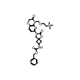 C[Si](C)(C)CCOCN1C(=O)COc2ccc(N3CC4(CC(NC(=O)OCc5ccccc5)C4)OC3=O)nc21